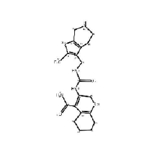 NC(=O)C1=C(NC(=O)NCc2c(C(F)(F)F)sc3c2CCNC3)CSC2=C1CCCC2